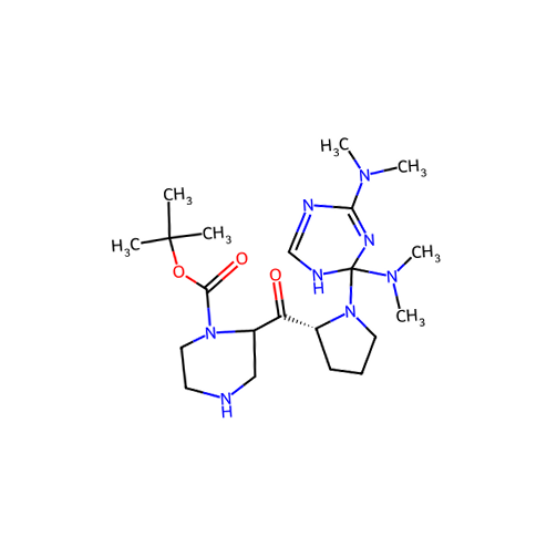 CN(C)C1=NC(N(C)C)(N2CCC[C@@H]2C(=O)C2CNCCN2C(=O)OC(C)(C)C)NC=N1